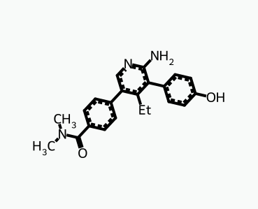 CCc1c(-c2ccc(C(=O)N(C)C)cc2)cnc(N)c1-c1ccc(O)cc1